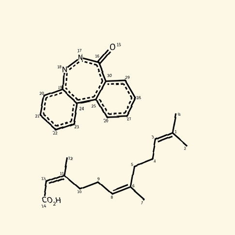 CC(C)=CCCC(C)=CCCC(C)=CC(=O)O.O=c1nnc2ccccc2c2ccccc12